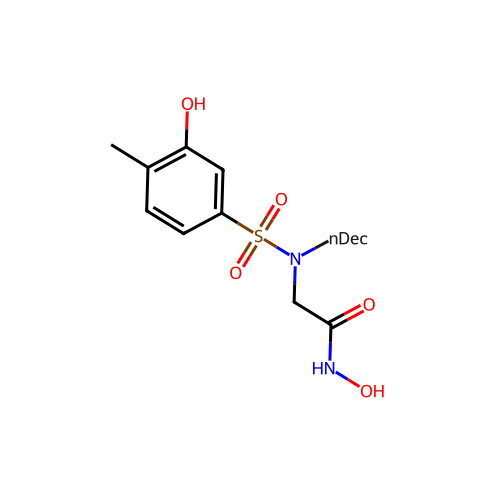 CCCCCCCCCCN(CC(=O)NO)S(=O)(=O)c1ccc(C)c(O)c1